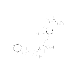 CCCN(CCC)C(=O)c1ccc(OCC(O)CNC(C)(C)CCOc2ccccc2)c(C#N)c1